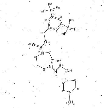 CN1CCC(Nc2cc3n(n2)CCCN(C(=O)OCc2cc(C(F)(F)F)cc(C(F)(F)F)c2)C3)CC1